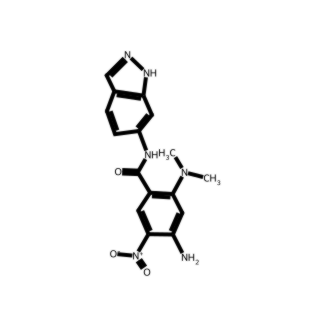 CN(C)c1cc(N)c([N+](=O)[O-])cc1C(=O)Nc1ccc2cn[nH]c2c1